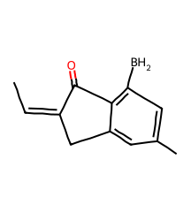 Bc1cc(C)cc2c1C(=O)/C(=C\C)C2